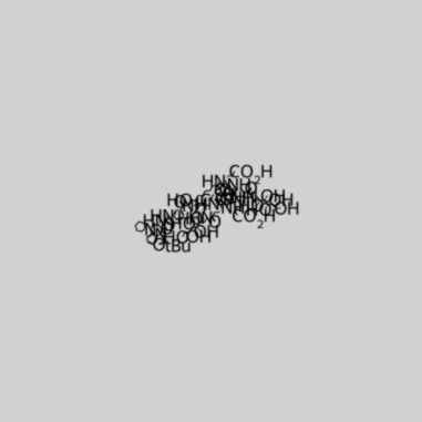 CC(C)(C)C(=O)CN1C(=O)[C@H](NC(=O)Nc2cccc(C(=O)NCCCCCCCC(=O)N[C@H](CCC(=O)O)C(=O)N[C@H](CCC(=O)NC[C@H](O)[C@@H](O)[C@H](O)[C@H](O)CO)C(=O)N[C@H](CCC(=O)O)C(=O)N[C@H](CCC(=O)NC[C@H](O)[C@@H](O)[C@H](O)[C@H](O)CO)C(=O)N[C@@H](CS)C(=O)O)c2)CN(C2CCCCC2)c2ccccc21